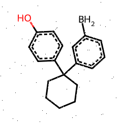 Bc1cccc(C2(c3ccc(O)cc3)CCCCC2)c1